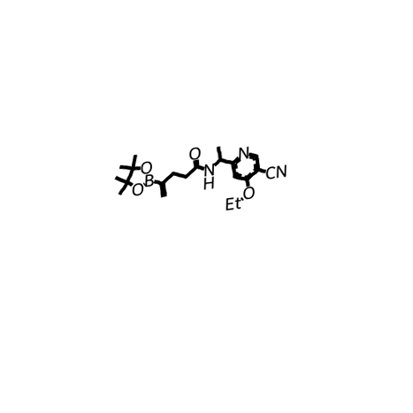 C=C(CCC(=O)NC(C)c1cc(OCC)c(C#N)cn1)B1OC(C)(C)C(C)(C)O1